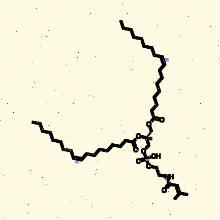 CCCCCCCC/C=C\CCCCCCCC(=O)OC[C@H](COP(=O)(O)OCCNC(=O)C=C(C)C)OC(=O)CCCCCCC/C=C\CCCCCCCC